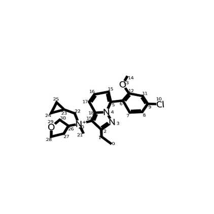 CCc1nn2c(-c3ccc(Cl)cc3OC)cccc2c1[N+](C)(CC1CC1)C1CCOC1